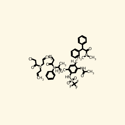 C=CCN(CC=C)C(=O)CCl.CC(=O)Nc1cc(NS(=O)(=O)C(F)(F)F)c(C)cc1C.CC(C)N(C(=O)CCl)c1ccccc1.CN(C)C(=O)C(c1ccccc1)c1ccccc1